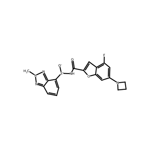 Cn1nc2cccc([S+]([O-])NC(=O)c3cc4c(F)cc(N5CCC5)cc4o3)c2n1